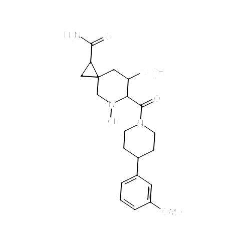 COc1cccc(C2CCN(C(=O)C3C(C(=O)O)CC4(CC4C(N)=O)CN3C)CC2)c1